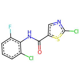 O=C(Nc1c(F)cccc1Cl)c1cnc(Cl)s1